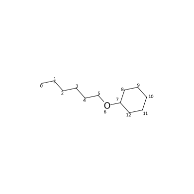 C[CH]CCCCOC1CCCCC1